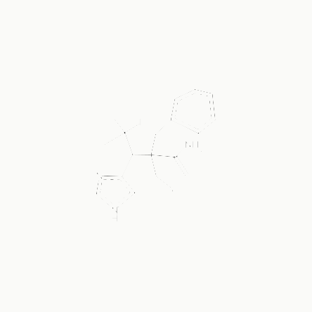 CCC(Cc1ccccc1)(C(N)=O)C(c1c[nH]cn1)C(F)(F)F